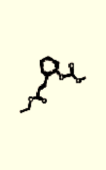 CCOC(=O)C=Cc1ccccc1OC(=O)OC